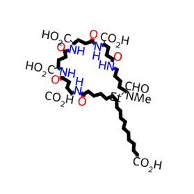 CC[C@@](C=O)(CCCCNC(=O)CC[C@H](NC(=O)CC[C@H](NC(=O)CC[C@H](NC(=O)CC[C@H](NC(=O)CCCCCCCCCCCCCCCCC(=O)O)C(=O)O)C(=O)O)C(=O)O)C(=O)O)NC